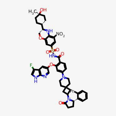 CC(C)c1ccccc1[C@@H]1CCC(=O)N1C1CC2(CCN(c3ccc(C(=O)NS(=O)(=O)c4cc5c(c([N+](=O)[O-])c4)N[C@@H]([C@H]4CC[C@](C)(O)CC4)CO5)c(Oc4cnc5[nH]cc(F)c5c4)c3)CC2)C1